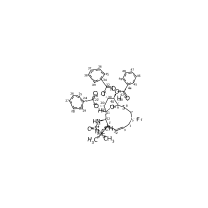 C[C@@H]1/C=C\C[C@@H](F)CS[C@H]2O[C@H]([C@@H]1N[S@+]([O-])C(C)(C)C)[C@H](OC(=O)c1ccccc1)[C@H](OC(=O)c1ccccc1)[C@H]2OC(=O)c1ccccc1